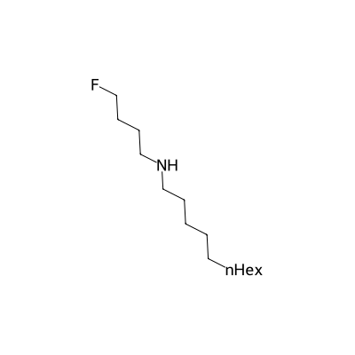 CCCCCCCCCCCNCCCCF